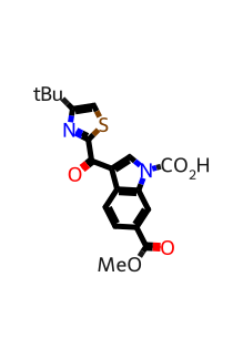 COC(=O)c1ccc2c(C(=O)c3nc(C(C)(C)C)cs3)cn(C(=O)O)c2c1